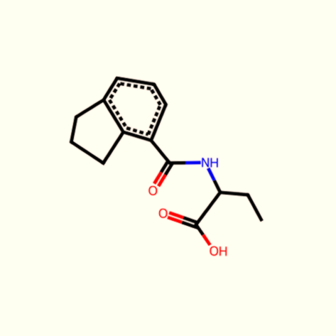 CCC(NC(=O)c1cccc2c1CCC2)C(=O)O